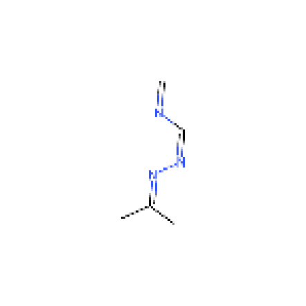 C=N/C=N\N=C(C)C